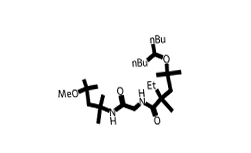 CCCCC(CCCC)OC(C)(C)CC(C)(CC)C(=O)NCC(=O)NC(C)(C)CC(C)(C)OC